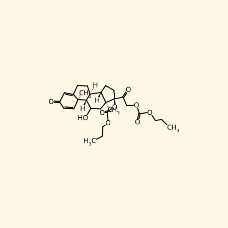 CCCOC(=O)OCC(=O)[C@@]1(OC(=O)OCCC)CC[C@H]2[C@@H]3CCC4=CC(=O)C=C[C@]4(C)[C@H]3C(O)C[C@@]21C